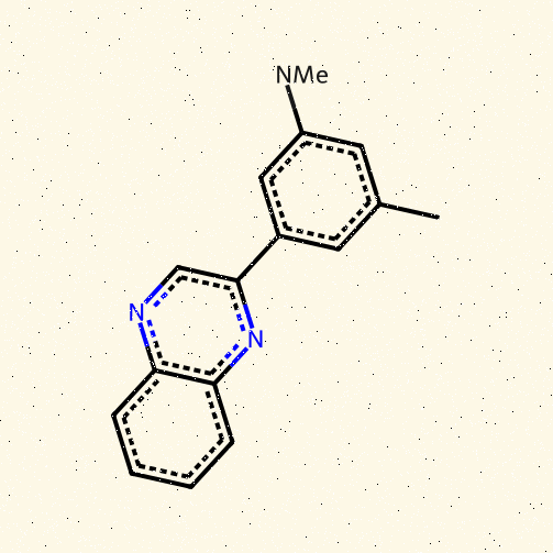 CNc1cc(C)cc(-c2cnc3ccccc3n2)c1